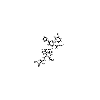 CCOC(=O)C1=C(CN2CC(F)(F)[C@H]3[C@@H]2CN(C=O)N3CCC(C)(C)C(=O)O)NC(c2nccs2)=N[C@H]1c1cccc(F)c1C